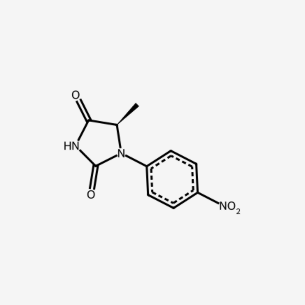 C[C@@H]1C(=O)NC(=O)N1c1ccc([N+](=O)[O-])cc1